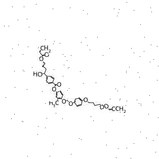 C=C=COOCCCCOc1ccc(OCOc2ccc(OC(=O)c3ccc(C(O)CCCOC(=O)C=C)cc3)cc2C)cc1